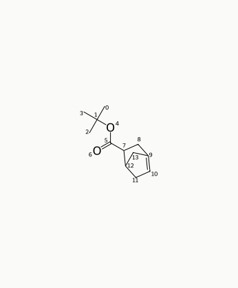 CC(C)(C)OC(=O)C1CC2=CCC1C2